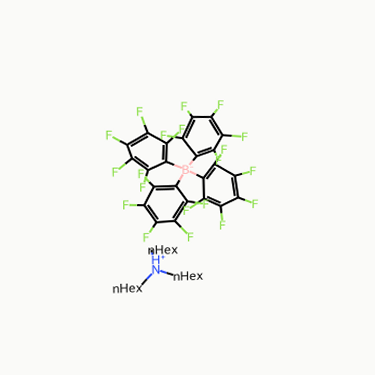 CCCCCC[NH+](CCCCCC)CCCCCC.Fc1c(F)c(F)c([B-](c2c(F)c(F)c(F)c(F)c2F)(c2c(F)c(F)c(F)c(F)c2F)c2c(F)c(F)c(F)c(F)c2F)c(F)c1F